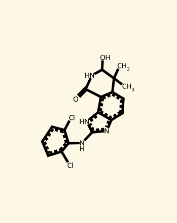 CC1(C)c2ccc3nc(Nc4c(Cl)cccc4Cl)[nH]c3c2C(=O)NC1O